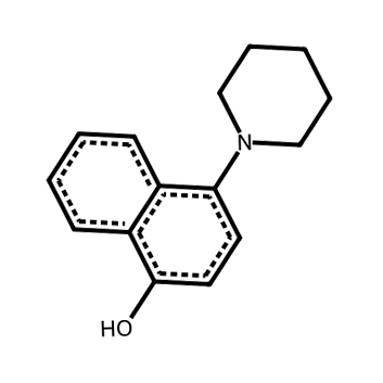 Oc1ccc(N2CCCCC2)c2ccccc12